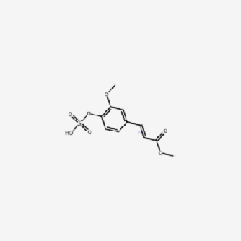 [CH2]OC(=O)/C=C/c1ccc(OS(=O)(=O)O)c(OC)c1